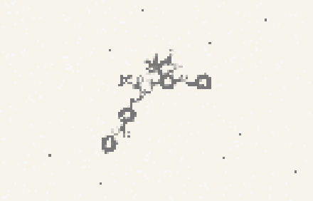 CC(C)(C)OC(=O)N(CCc1ccc(C(=O)Oc2ccccc2)cc1)C[C@H](O[Si](C)(C)C(C)(C)C)c1ccc(OCc2ccccc2)c2[nH]c(=O)ccc12